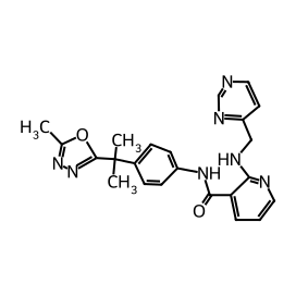 Cc1nnc(C(C)(C)c2ccc(NC(=O)c3cccnc3NCc3ccncn3)cc2)o1